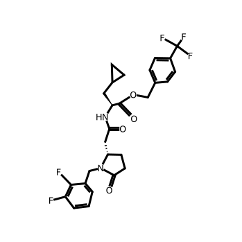 O=C(C[C@@H]1CCC(=O)N1Cc1cccc(F)c1F)N[C@@H](CC1CC1)C(=O)OCc1ccc(C(F)(F)F)cc1